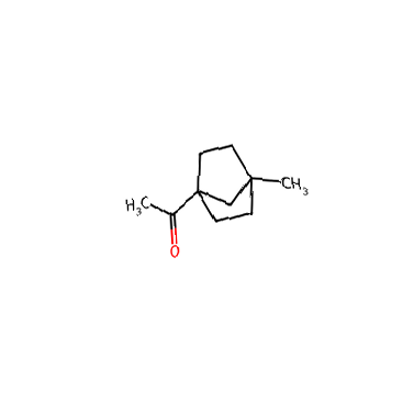 CC(=O)C12CCC(C)(CC1)C2